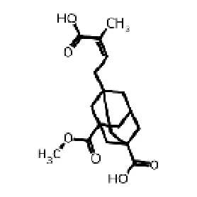 COC(=O)C12CC3CC(CC=C(C)C(=O)O)(CC(C(=O)O)(C3)C1)C2